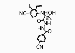 C=Cc1c(NC(C(=O)NNC(=O)c2ccc(C#N)cc2)[C@H](C)O)ccc(C#N)c1I